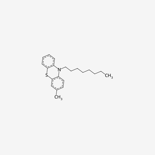 CCCCCCCCN1c2ccccc2Sc2cc(C)ccc21